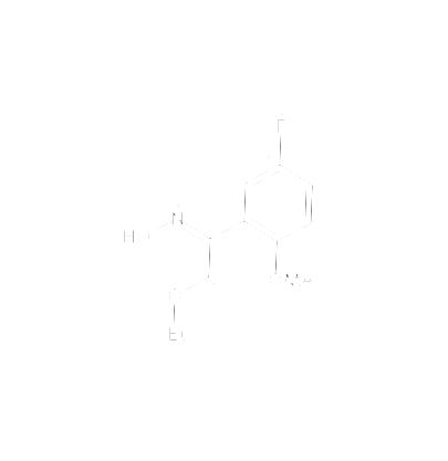 CCOC/C(=N\O)c1cc(F)ccc1OC